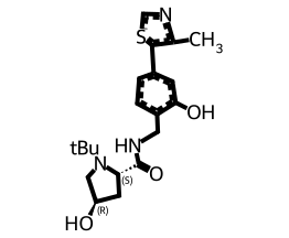 Cc1ncsc1-c1ccc(CNC(=O)[C@@H]2C[C@@H](O)CN2C(C)(C)C)c(O)c1